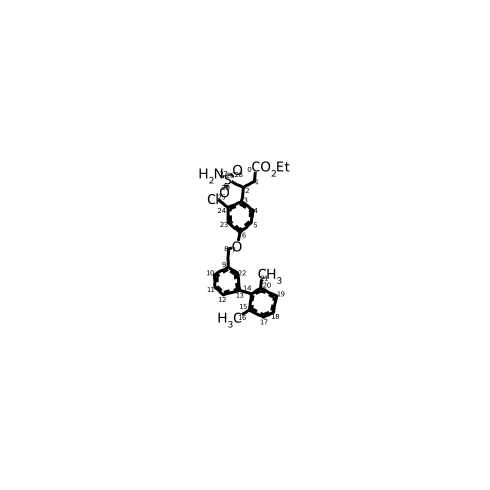 CCOC(=O)CC(c1ccc(OCc2cccc(-c3c(C)cccc3C)c2)cc1Cl)S(N)(=O)=O